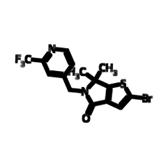 CC1(C)c2sc(Br)cc2C(=O)N1Cc1ccnc(C(F)(F)F)c1